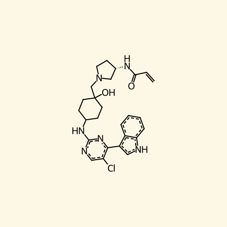 C=CC(=O)N[C@H]1CCN(CC2(O)CCC(Nc3ncc(Cl)c(-c4c[nH]c5ccccc45)n3)CC2)C1